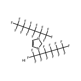 FC(F)(F)C(F)(F)C(F)(F)C(F)(F)C(F)(N1C=CN(C(F)(C(F)(F)F)C(F)(F)C(F)(F)C(F)(F)C(F)(F)F)C1)C(F)(F)F.I